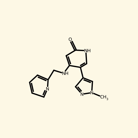 Cn1cc(-c2c[nH]c(=O)cc2NCc2ccccn2)cn1